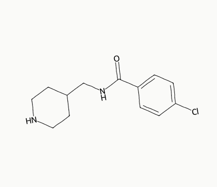 O=C(NCC1CCNCC1)c1ccc(Cl)cc1